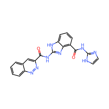 O=C(Nc1nc2c(C(=O)Nc3ncc[nH]3)cccc2[nH]1)c1cc2ccccc2nn1